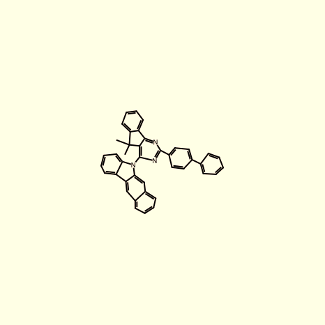 CC1(C)c2ccccc2-c2nc(-c3ccc(-c4ccccc4)cc3)nc(-n3c4ccccc4c4cc5ccccc5cc43)c21